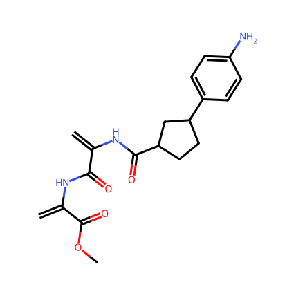 C=C(NC(=O)C1CCC(c2ccc(N)cc2)C1)C(=O)NC(=C)C(=O)OC